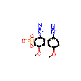 COc1ccc([N+]#N)cc1.COc1ccc([N+]#N)cc1.O=[PH]([O-])[O-]